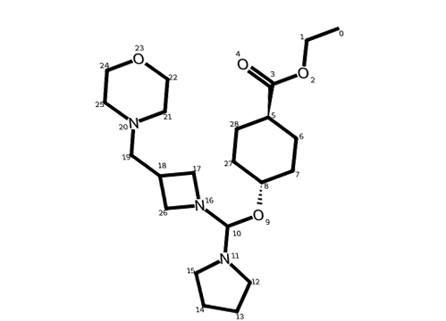 CCOC(=O)[C@H]1CC[C@H](OC(N2CCCC2)N2CC(CN3CCOCC3)C2)CC1